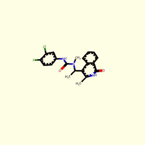 Cc1[nH]c(=O)c2ccccc2c1C(C)N(C)C(=O)Nc1ccc(F)c(Cl)c1